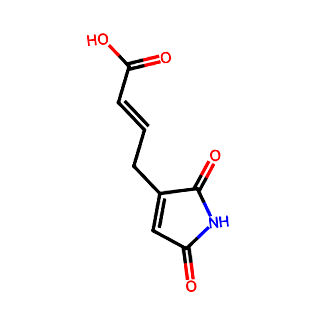 O=C(O)C=CCC1=CC(=O)NC1=O